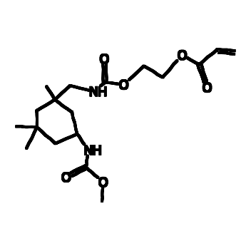 C=CC(=O)OCCOC(=O)NCC1(C)CC(NC(=O)OC)CC(C)(C)C1